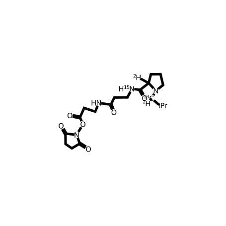 [2H][13CH]([13CH]([13CH3])[13CH3])N1CCCC1([2H])C(=O)[15NH]CCC(=O)NCCC(=O)ON1C(=O)CCC1=O